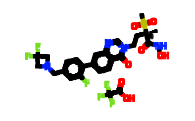 C[C@@](CCn1cnc2cc(-c3ccc(CN4CC(F)(F)C4)cc3F)ccc2c1=O)(C(=O)NO)S(C)(=O)=O.O=C(O)C(F)(F)F